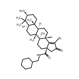 CC(=O)O[C@H]1CC[C@]2(C)[C@H]3CC[C@@H]4C5=C(C(C)C)C(=O)C[C@]5(C(=O)NCC5CCCCC5)CC[C@@]4(C)[C@]3(C)CC[C@H]2C1(C)C